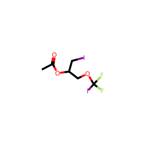 CC(=O)OC(CI)COC(F)(F)I